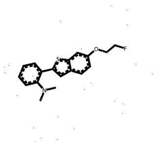 CN(C)c1ccccc1-c1cc2ccc(OCCF)cc2s1